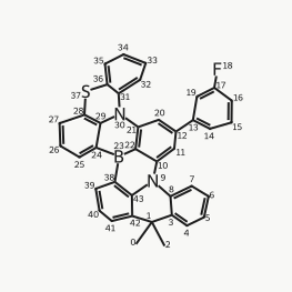 CC1(C)c2ccccc2N2c3cc(-c4cccc(F)c4)cc4c3B(c3cccc5c3N4c3ccccc3S5)c3cccc1c32